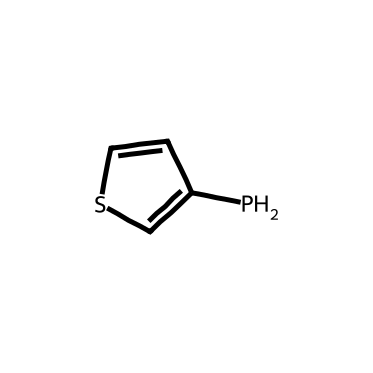 Pc1ccsc1